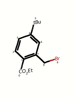 CCOC(=O)c1ccc(C(C)(C)C)cc1CBr